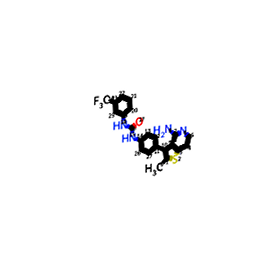 Cc1sc2ccnc(N)c2c1-c1ccc(NC(=O)Nc2cccc(C(F)(F)F)c2)cc1